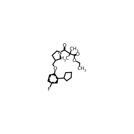 CCOC(=O)C(C)(C)C(=O)N1CCC(COc2ccc(F)cc2C2CCCC2)C1